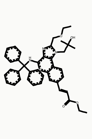 CCOCc1nc2c(NC(c3ccccc3)(c3ccccc3)c3ccccc3)nc3cc(/C=C/C(=O)OCC)ccc3c2n1CC(C)(C)O